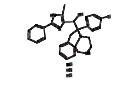 Cc1[nH]c(-c2ccccc2)nc1C(O)C(Cc1ccccc1)(c1ccc(Cl)cc1)N1CCNCC1.Cl.Cl.Cl